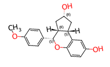 COc1ccc([C@H]2Oc3ccc(O)cc3[C@H]3C[C@@H](O)C[C@H]32)cc1